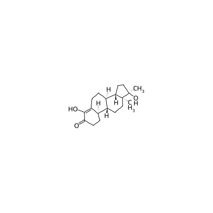 C[C@]12CC[C@H]3[C@@H](CCC4=C(O)C(=O)CC[C@@H]43)[C@@H]1CC[C@@]2(C)O